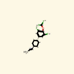 C/C=C/[C@H]1CC[C@H](c2cc(F)c(OC(F)F)c(F)c2)CC1